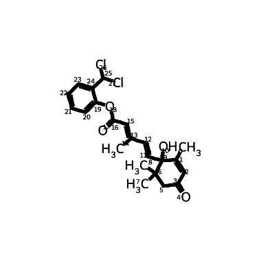 CC1=CC(=O)CC(C)(C)C1(O)/C=C/C(C)=C/C(=O)Oc1ccccc1C(Cl)Cl